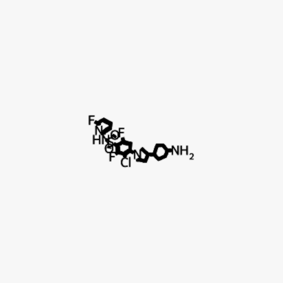 NC1CCC(C2CCN(c3cc(F)c(S(=O)(=O)Nc4cccc(F)n4)c(F)c3Cl)C2)CC1